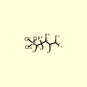 FC(F)C(F)C(F)C(F)(F)C(F)[Si](Cl)(Cl)Cl